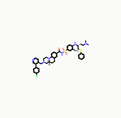 CN(C)CC[C@H](CSc1ccccc1)Nc1ccc(S(=O)(=O)NC(=O)c2ccc3c(c2)CC[C@@H]2CN(Cc4ccncc4-c4ccc(Cl)cc4)CCN32)cc1[N+](=O)[O-]